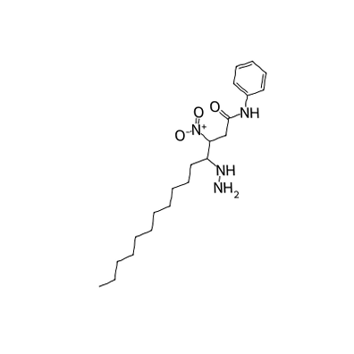 CCCCCCCCCCCC(NN)C(CC(=O)Nc1ccccc1)[N+](=O)[O-]